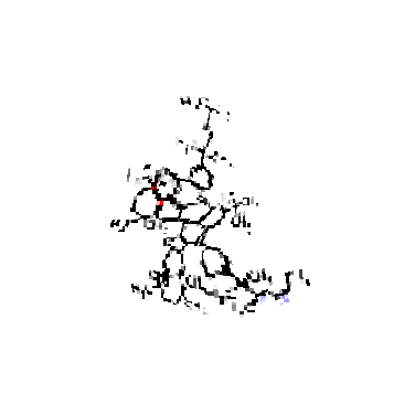 C/C=C\C=C(/C)C(C)(C)c1ccc(N2c3cc(C(C)(C)C)cc4c3B(c3cc5c(cc3N4c3ccc(C(C)(C)CCC(C)C)cc3C3=CC=CCC3)C(C)(C)CCC5(C)C)c3oc4cc5c(cc4c32)C(C)(C)CCC5(C)C)cc1